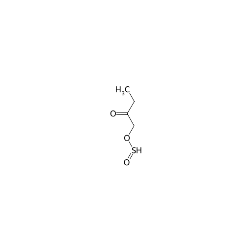 CCC(=O)CO[SH]=O